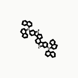 Cn1c2cc(N(c3cccc4ccccc34)c3cccc4ccccc34)ccc2c2c3ccc4c(c3ccc21)c1ccc(N(c2cccc3ccccc23)c2cccc3ccccc23)cc1n4C